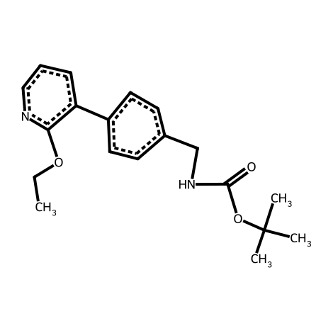 CCOc1ncccc1-c1ccc(CNC(=O)OC(C)(C)C)cc1